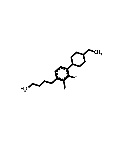 CCCCCc1ccc(C2CCC(CC)CC2)c(F)c1F